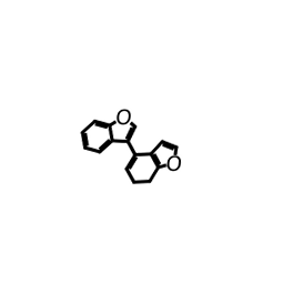 C1=C(c2coc3ccccc23)c2ccoc2CC1